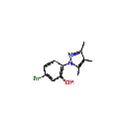 Cc1nn(-c2ccc(Br)cc2O)c(C)c1C